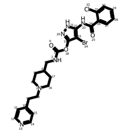 O=C(NCC1CCN(CCc2ccncc2)CC1)Oc1n[nH]c(NC(=O)c2ccccc2Cl)c1Br